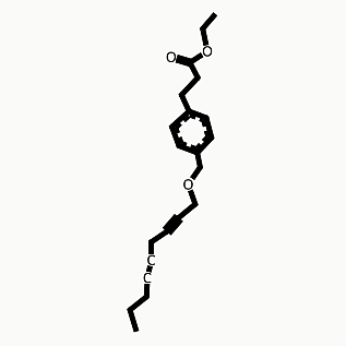 CCCCCCC#CCOCc1ccc(CCC(=O)OCC)cc1